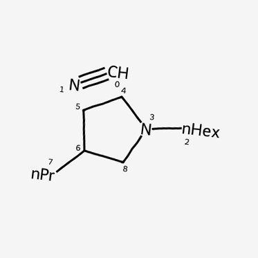 C#N.CCCCCCN1CCC(CCC)C1